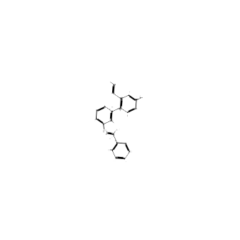 CC=Cc1cc(Cl)ccc1-c1cccc2nc(-c3ccccc3)oc12